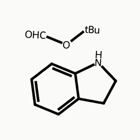 CC(C)(C)OC=O.c1ccc2c(c1)CCN2